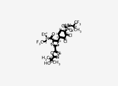 CCN(CC(F)(F)F)C(=O)c1nc(-c2nnc(C(C)(C)O)o2)sc1-c1ccc(S(=O)(=O)NC(C)C(F)(F)F)c(Cl)c1Cl